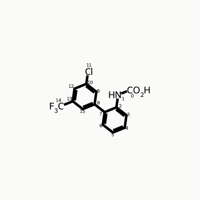 O=C(O)Nc1ccccc1-c1cc(Cl)cc(C(F)(F)F)c1